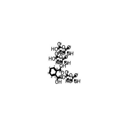 O=C(O)c1ccccc1C(=O)O.O=P(O)(O)OP(=O)(O)O.O=P(O)(O)OP(=O)(O)O.O=P(O)(O)OP(=O)(O)O